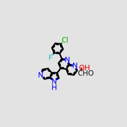 Fc1ccc(Cl)cc1-c1cc(-c2c[nH]c3cnccc23)c2cccnc2n1.O=CO